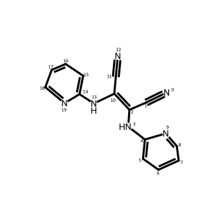 N#C/C(Nc1ccccn1)=C(\C#N)Nc1ccccn1